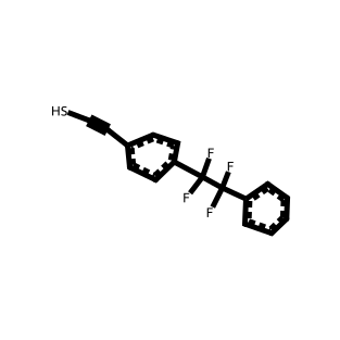 FC(F)(c1ccccc1)C(F)(F)c1ccc(C#CS)cc1